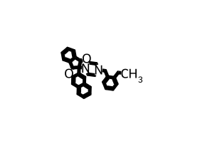 CCc1ccccc1CN1CCN(C2(c3ccc4ccccc4c3)C(=O)c3ccccc3C2=O)CC1